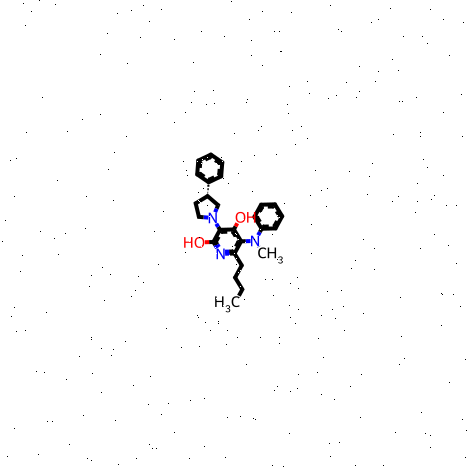 CCCCc1nc(O)c(N2CC[C@H](c3ccccc3)C2)c(O)c1N(C)c1ccccc1